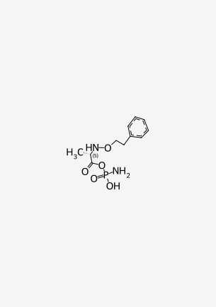 C[C@H](NOCCc1ccccc1)C(=O)OP(N)(=O)O